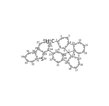 Cc1ccc2c(c1)C1(c3ccccc3-2)c2ccccc2-c2ccc(-c3cccc4c3sc3ccccc34)cc21